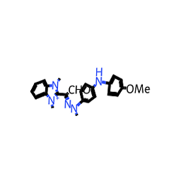 COc1ccc(Nc2ccc(N(C)/N=C(\C=O)c3n(C)c4ccccc4[n+]3C)cc2)cc1